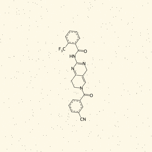 N#Cc1cccc(C(=O)N2C=C3CN=C(NC(=O)c4ccccc4C(F)(F)F)N=C3CC2)c1